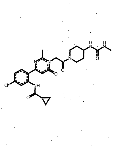 CNC(=O)NC1CCN(C(=O)Cn2c(C)nc(-c3ccc(Cl)cc3NC(=O)C3CC3)cc2=O)CC1